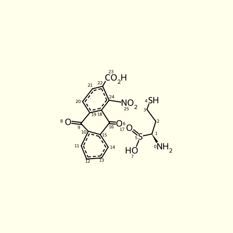 N[C@H](CCS)S(=O)O.O=C1c2ccccc2C(=O)c2c1ccc(C(=O)O)c2[N+](=O)[O-]